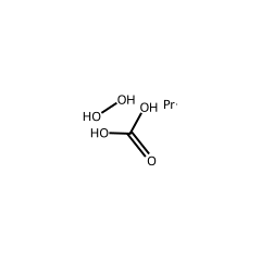 O=C(O)O.OO.[Pr]